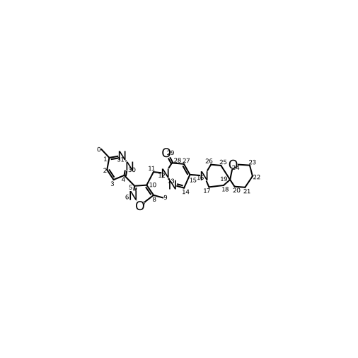 Cc1ccc(-c2noc(C)c2Cn2ncc(N3CCC4(CCCCO4)CC3)cc2=O)nn1